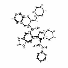 O=C(Nc1ccccc1)c1c(-c2cc3c(cc2C(=O)N2Cc4ccccc4C[C@H]2CN2CCOCC2)OCO3)cn2c1CCCC2